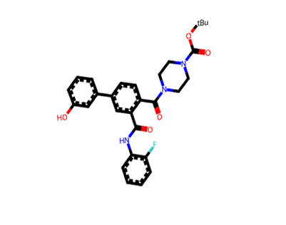 CC(C)(C)OC(=O)N1CCN(C(=O)c2ccc(-c3cccc(O)c3)cc2C(=O)Nc2ccccc2F)CC1